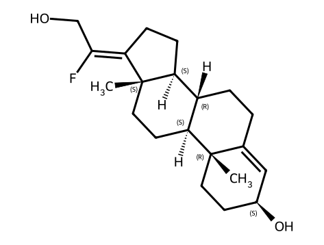 C[C@]12CC[C@H](O)C=C1CC[C@@H]1[C@@H]2CC[C@]2(C)C(=C(F)CO)CC[C@@H]12